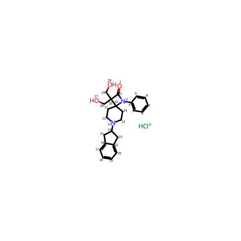 Cl.O=C1N(c2ccccc2)C2(CCN(C3Cc4ccccc4C3)CC2)C1(CO)CO